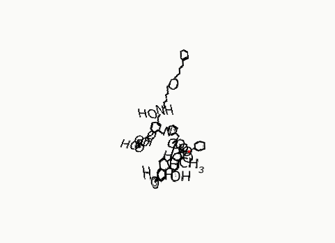 C[C@]12C=CC(=O)C=C1CC[C@@H]1[C@@H]2[C@@H](O)C[C@@]2(C)[C@H]1C[C@H]1O[C@@H](C3CCCCC3)O[C@]12C(=O)COC(=O)Cc1ccc[n+](Cc2cc(C(O)CNCCCCCCOCCCCc3ccccc3)ccc2OCOP(=O)(O)O)c1